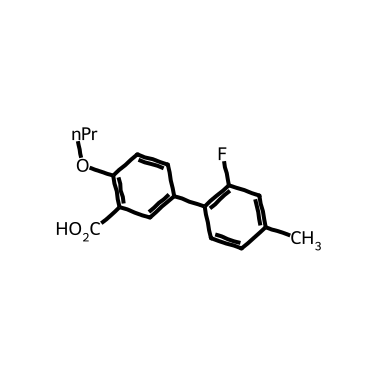 CCCOc1ccc(-c2ccc(C)cc2F)cc1C(=O)O